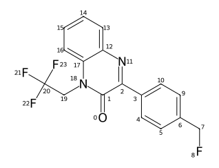 O=c1c(-c2ccc(CF)cc2)nc2ccccc2n1CC(F)(F)F